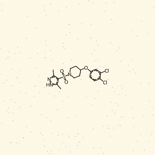 Cc1n[nH]c(C)c1S(=O)(=O)N1CCC(Oc2ccc(Cl)c(Cl)c2)CC1